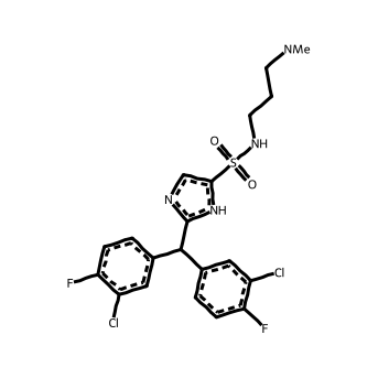 CNCCCNS(=O)(=O)c1cnc(C(c2ccc(F)c(Cl)c2)c2ccc(F)c(Cl)c2)[nH]1